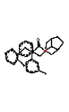 O=C(OC1C2CCC1CN(Cc1ccccc1)C2)N(Cc1ccccc1F)c1cccc(F)c1